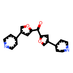 O=C(c1cc(-c2ccncc2)co1)c1cc(-c2ccncc2)co1